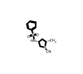 C[C@H]1C[C@@H](NS(=O)(=O)c2ccccc2)CN1C#N